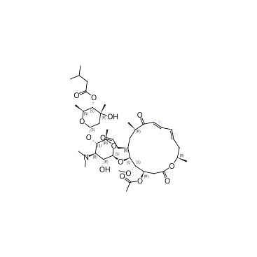 CO[C@@H]1[C@@H](O[C@@H]2O[C@H](C)[C@@H](O[C@H]3C[C@@](C)(O)[C@@H](OC(=O)CC(C)C)[C@H](C)O3)[C@H](N(C)C)[C@H]2O)[C@@H](CC=O)C[C@@H](C)C(=O)/C=C/C=C/C[C@@H](C)OC(=O)C[C@H]1OC(C)=O